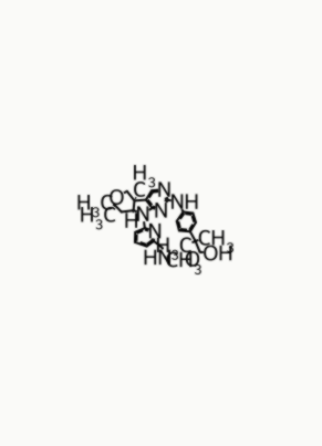 CNCc1cccc(N2c3nc(Nc4ccc(C(C)(C)C(=O)O)cc4)ncc3[C@]3(C)COC(C)(C)C[C@H]23)n1